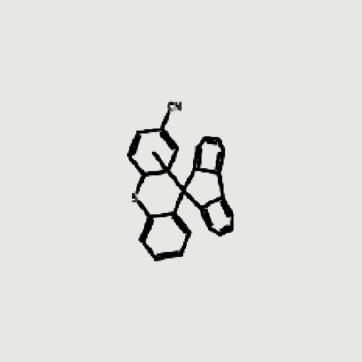 CC12C=C(C#N)C=CC1Sc1ccccc1C21c2ccccc2-c2ccccc21